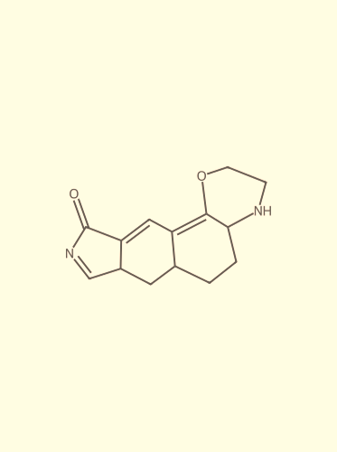 O=C1N=CC2CC3CCC4NCCOC4=C3C=C12